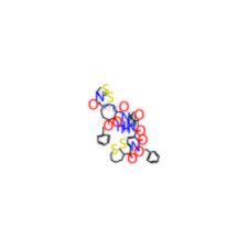 O=C(N[C@H]1COC[C@H]1NC(=O)c1ccc(C(=O)C2CCCCSC2=S)n(OCc2ccccc2)c1=O)/C1=C/C=C(/C(=O)N2CCSC2=S)CCC(OCc2ccccc2)C1=O